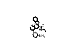 CCNC(=O)c1cc2c(N3CCC[C@@H](N)C3)ccnc2n2c1nc1ccccc12